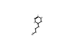 ICCCC1CC=CCC1